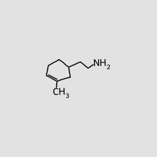 CC1=CCCC(CCN)C1